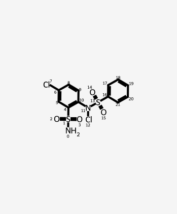 NS(=O)(=O)c1cc(Cl)ccc1N(Cl)S(=O)(=O)c1ccccc1